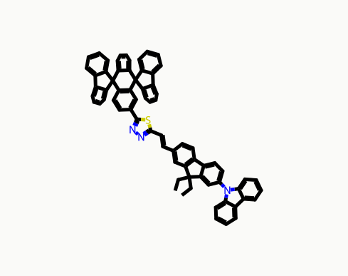 CCC1(CC)c2cc(/C=C/c3nnc(-c4ccc5c(c4)C4(c6ccccc6-c6ccccc64)c4ccccc4C54c5ccccc5-c5ccccc54)s3)ccc2-c2ccc(-n3c4ccccc4c4ccccc43)cc21